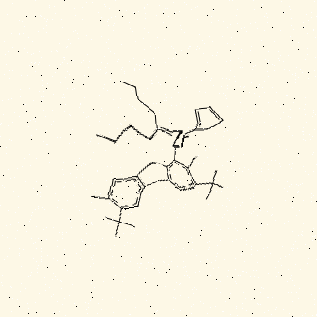 CCCC[C](CCCC)=[Zr]([C]1=CC=CC1)[c]1c(C)c(C(C)(C)C)cc2c1Cc1cc(C)c(C(C)(C)C)cc1-2